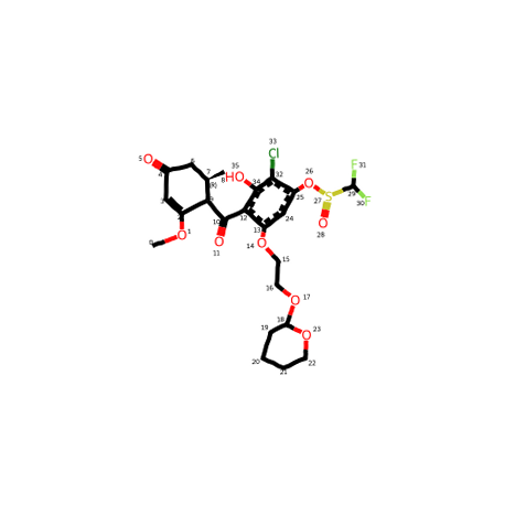 COC1=CC(=O)C[C@@H](C)C1C(=O)c1c(OCCOC2CCCCO2)cc(OS(=O)C(F)F)c(Cl)c1O